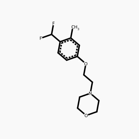 Cc1cc(OCCN2CCOCC2)ccc1C(F)F